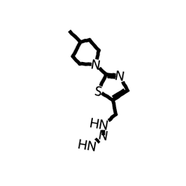 CC1CCN(c2ncc(CNN=N)s2)CC1